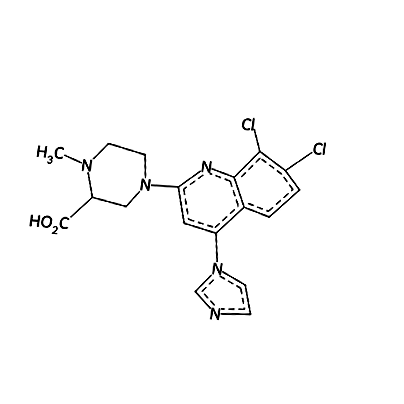 CN1CCN(c2cc(-n3ccnc3)c3ccc(Cl)c(Cl)c3n2)CC1C(=O)O